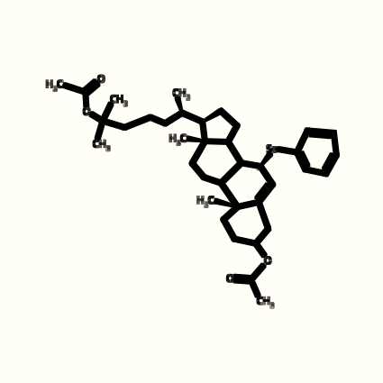 CC(=O)OC1CC[C@@]2(C)C(=C[C@H]([Se]c3ccccc3)C3C2CC[C@@]2(C)C3CC[C@@H]2[C@H](C)CCCC(C)(C)OC(C)=O)C1